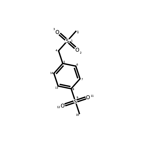 [CH2]S(=O)(=O)Cc1ccc(S(C)(=O)=O)cc1